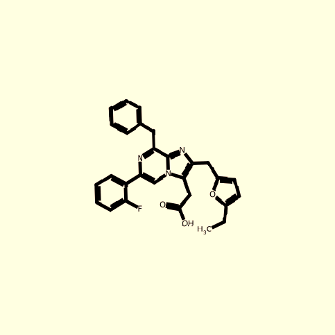 CCc1ccc(Cc2nc3c(Cc4ccccc4)nc(-c4ccccc4F)cn3c2CC(=O)O)o1